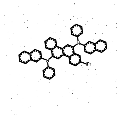 CC(C)c1ccc2c(c1)c(N(c1ccccc1)c1ccc3ccccc3c1)cc1c3ccccc3c(N(c3ccccc3)c3ccc4ccccc4c3)cc21